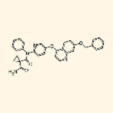 NC(=O)C1(C(=O)N(c2ccccc2)c2ccc(Oc3ccnc4cc(OCc5ccccc5)ccc34)cn2)CC1